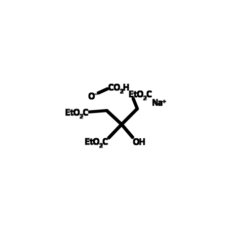 CCOC(=O)CC(O)(CC(=O)OCC)C(=O)OCC.O=C([O-])O.[Na+]